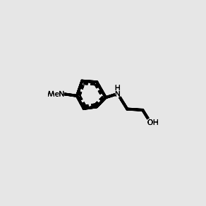 CNc1ccc(NCCO)cc1